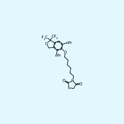 CCCc1cc2c(c(CCC)c1OCCCCCCN1C(=O)CSC1=O)COC2(C(F)(F)F)C(F)(F)F